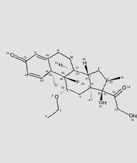 CCO[C@H]1C[C@@]2(C)[C@@H](C[C@@H](C)[C@]2(O)C(=O)CO)[C@@H]2CCC3=CC(=O)C=C[C@]3(C)[C@@]12F